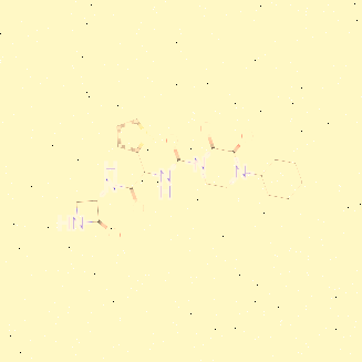 O=C1NCC1NC(=O)C(NC(=O)N1CCN(C2CCCCC2)C(=O)C1=O)c1cccs1